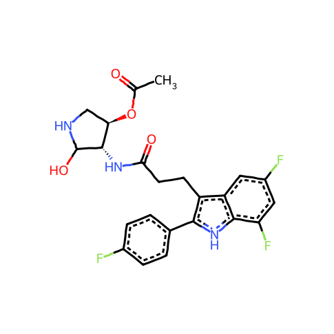 CC(=O)O[C@@H]1CNC(O)[C@H]1NC(=O)CCc1c(-c2ccc(F)cc2)[nH]c2c(F)cc(F)cc12